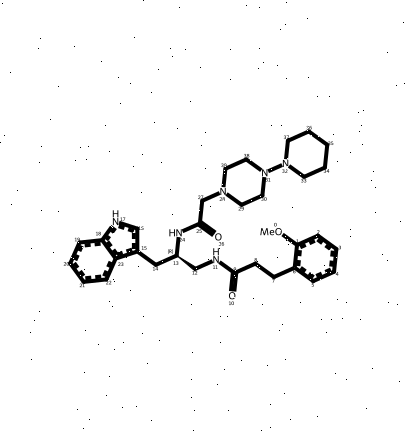 COc1ccccc1CCC(=O)NC[C@@H](Cc1c[nH]c2ccccc12)NC(=O)CN1CCN(N2CCCCC2)CC1